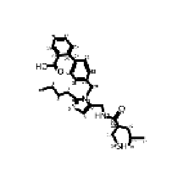 CCCCc1ncc(CNC(=O)C(CS)CC(C)C)n1Cc1ccc(-c2ccccc2C(=O)O)cc1